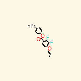 C/C=C/Oc1ccc(C(=O)Oc2ccc(CCC)cc2)c(F)c1F